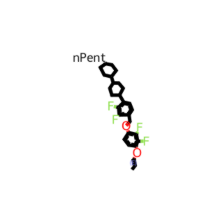 C/C=C/Oc1ccc(OCc2ccc(C3CCC(C4CCC(CCCCC)CC4)CC3)c(F)c2F)c(F)c1F